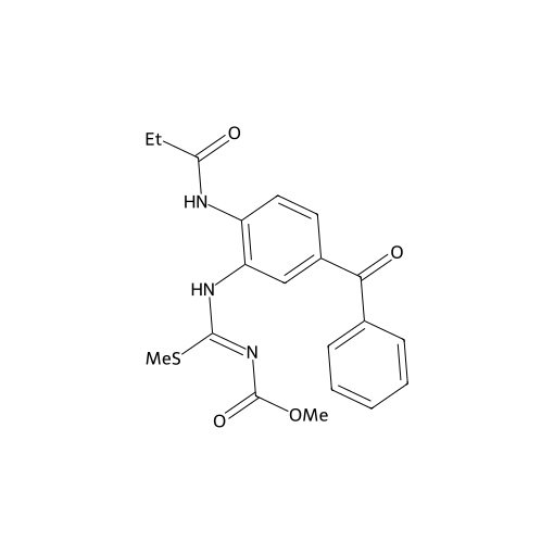 CCC(=O)Nc1ccc(C(=O)c2ccccc2)cc1NC(=NC(=O)OC)SC